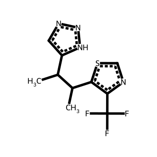 CC(c1cnn[nH]1)C(C)c1scnc1C(F)(F)F